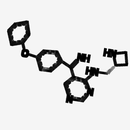 N=C(c1ccc(Oc2ccccc2)cc1)c1cncnc1NC[C@H]1CCN1